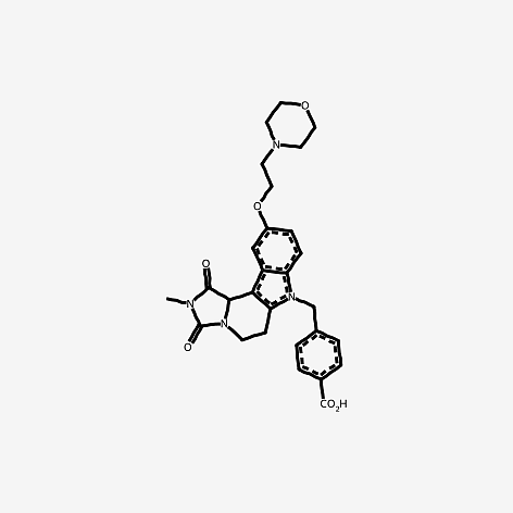 CN1C(=O)C2c3c(n(Cc4ccc(C(=O)O)cc4)c4ccc(OCCN5CCOCC5)cc34)CCN2C1=O